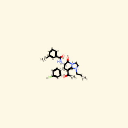 CCCN1CCN2C(=O)[C@@H](NC(=O)c3cccc(C)c3)[C@@H](c3ccc(F)cc3)C(C(C)=O)=C12